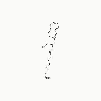 CCCCCCCCCCCCCCCCOCC(C[N+]1=Cc2ccccc2CC1)OS